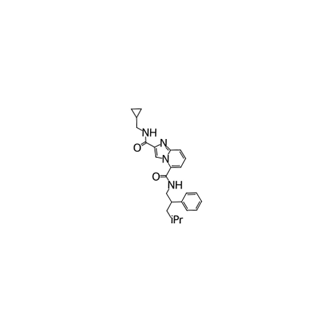 CC(C)CC(CNC(=O)c1cccc2nc(C(=O)NCC3CC3)cn12)c1ccccc1